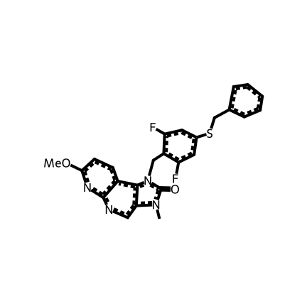 COc1ccc2c(ncc3c2n(Cc2c(F)cc(SCc4ccccc4)cc2F)c(=O)n3C)n1